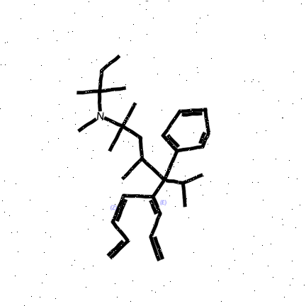 C=C/C=C\C(=C/C=C)C(c1ccccc1)(C(C)C)C(C)CC(C)(C)N(C)C(C)(C)CC